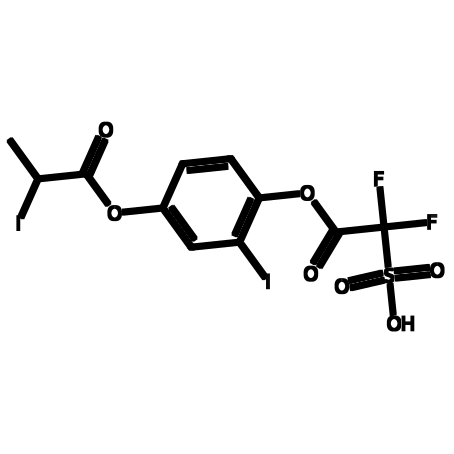 CC(I)C(=O)Oc1ccc(OC(=O)C(F)(F)S(=O)(=O)O)c(I)c1